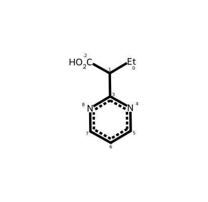 CCC(C(=O)O)c1ncccn1